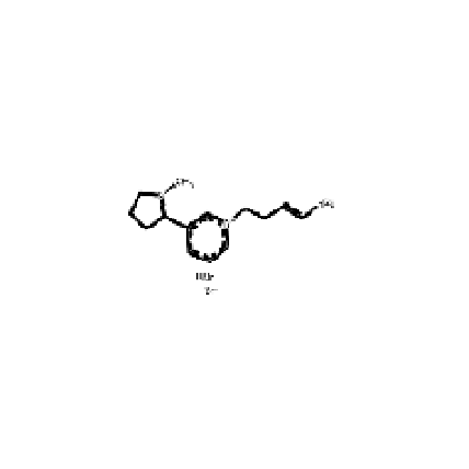 Br.CCCCC=CCC[n+]1cccc(C2CCCN2C)c1.[Br-]